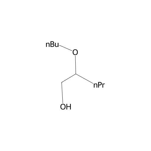 CCCCOC(CO)CCC